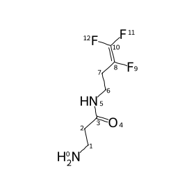 NCCC(=O)NCCC(F)=C(F)F